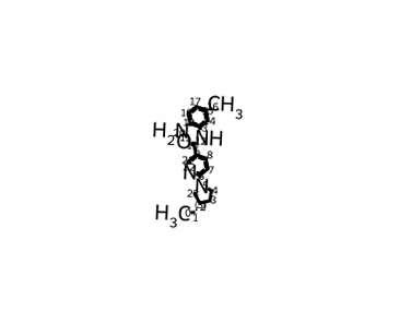 CC[C@H]1CCN(c2ccc(C(=O)Nc3cc(C)ccc3N)cn2)C1